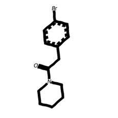 O=C(Cc1ccc(Br)cc1)N1CCCCC1